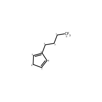 FC(F)(F)CCCC1=CC[C]=C1